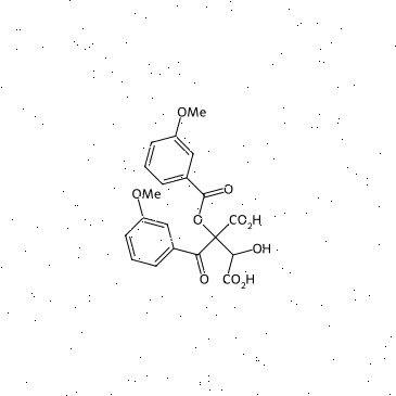 COc1cccc(C(=O)OC(C(=O)O)(C(=O)c2cccc(OC)c2)C(O)C(=O)O)c1